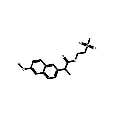 COc1ccc2cc(C(C)C(=O)OCCS(C)(=O)=O)ccc2c1